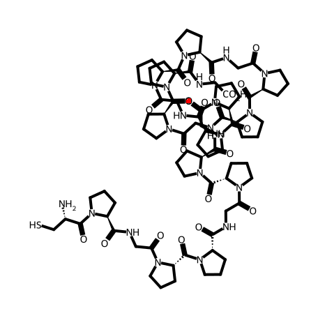 N[C@@H](CS)C(=O)N1CCC[C@H]1C(=O)NCC(=O)N1CCC[C@H]1C(=O)N1CCC[C@H]1C(=O)NCC(=O)N1CCC[C@H]1C(=O)N1CCC[C@H]1C(=O)NCC(=O)N1CCC[C@H]1C(=O)N1CCC[C@H]1C(=O)NCC(=O)N1CCC[C@H]1C(=O)N1CCC[C@H]1C(=O)NCC(=O)N1CCC[C@H]1C(=O)N1CCC[C@H]1C(=O)NCC(=O)N1CCC[C@H]1C(=O)N1CCC[C@H]1C(=O)NCC(=O)O